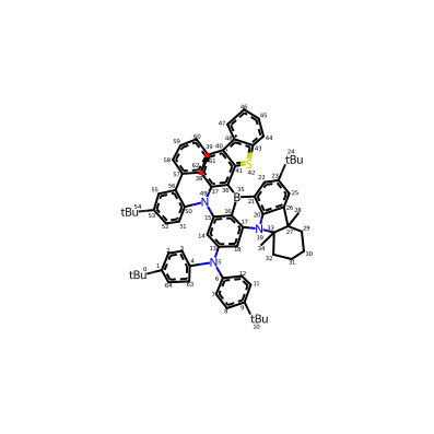 CC(C)(C)c1ccc(N(c2ccc(C(C)(C)C)cc2)c2cc3c4c(c2)N2c5c(cc(C(C)(C)C)cc5C5(C)CCCCC25C)B4c2c(ccc4c2sc2ccccc24)N3c2ccc(C(C)(C)C)cc2-c2ccccc2)cc1